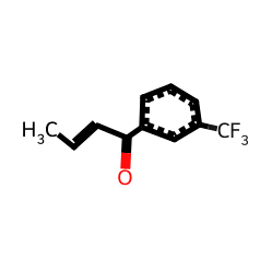 CC=CC(=O)c1cccc(C(F)(F)F)c1